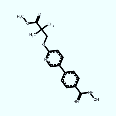 COC(=O)C(C)(C)COc1ccc(-c2ccc(C(=N)NO)cc2)cn1